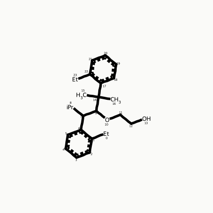 CCc1ccccc1C(C(C)C)C(OCCO)C(C)(C)c1ccccc1CC